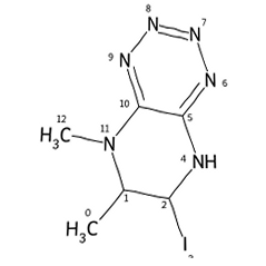 CC1C(I)Nc2nnnnc2N1C